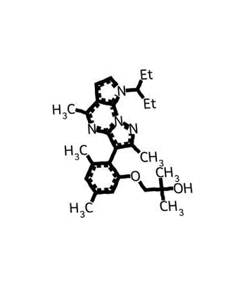 CCC(CC)n1ccc2c(C)nc3c(-c4c(C)cc(C)cc4OCC(C)(C)O)c(C)nn3c21